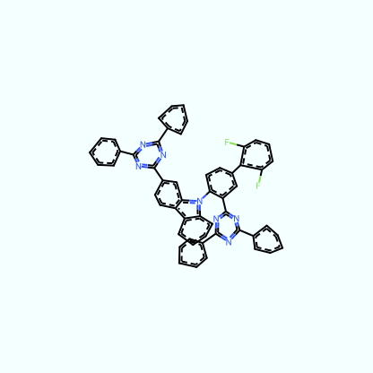 Fc1cccc(F)c1-c1ccc(-n2c3ccccc3c3ccc(-c4nc(-c5ccccc5)nc(-c5ccccc5)n4)cc32)c(-c2nc(-c3ccccc3)nc(-c3ccccc3)n2)c1